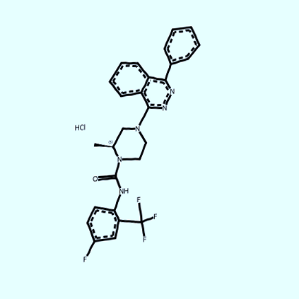 C[C@H]1CN(c2nnc(-c3ccccc3)c3ccccc23)CCN1C(=O)Nc1ccc(F)cc1C(F)(F)F.Cl